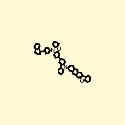 c1ccc2c(c1)Oc1cc(-c3ccc4c(c3)c3ccccc3n4-c3ccc4cc5cc6c(cc5cc4c3)oc3ccccc36)ccc1N2c1ccc(-c2cccc3ccccc23)cc1